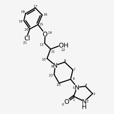 O=C1NCCN1C1CCN(CC(O)COc2ccccc2Cl)CC1